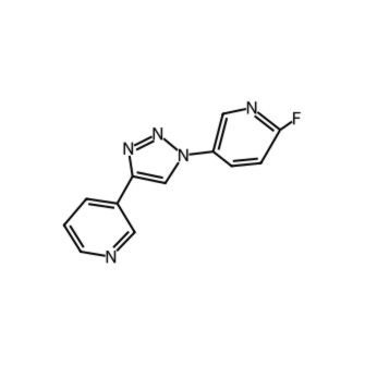 Fc1ccc(-n2cc(-c3cccnc3)nn2)cn1